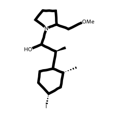 COCC1CCCN1C(O)[C@@H](C)C1CC[C@@H](I)C[C@H]1C